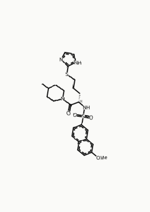 COc1ccc2ccc(S(=O)(=O)N[C@@H](CCCSc3ncc[nH]3)C(=O)N3CCC(C)CC3)cc2c1